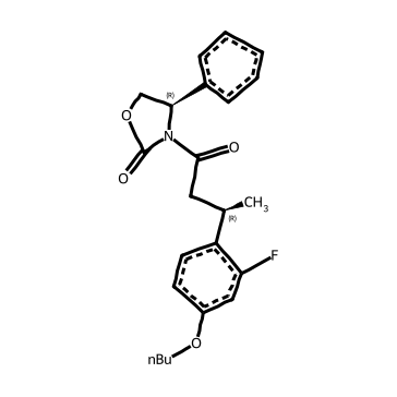 CCCCOc1ccc([C@H](C)CC(=O)N2C(=O)OC[C@H]2c2ccccc2)c(F)c1